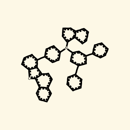 c1ccc(-c2cc(-c3ccccc3)cc(N(c3ccc(-c4cccc5oc6c7ccccc7ccc6c45)cc3)c3cccc4ccccc34)c2)cc1